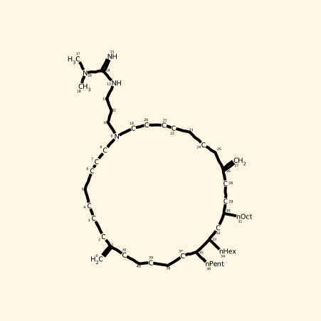 C=C1CCCCCCCN(CCCNC(=N)N(C)C)CCCCCCCC(=C)CCC(CCCCCCCC)CC(CCCCCC)C(CCCCC)CCCCC1